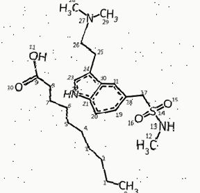 CCCCCCCCCC(=O)O.CNS(=O)(=O)Cc1ccc2[nH]cc(CCN(C)C)c2c1